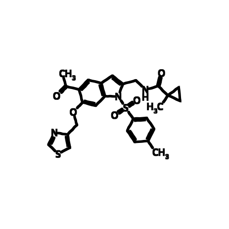 CC(=O)c1cc2cc(CNC(=O)C3(C)CC3)n(S(=O)(=O)c3ccc(C)cc3)c2cc1OCc1cscn1